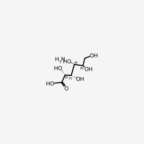 N.O=C(O)[C@H](O)[C@@H](O)[C@H](O)[C@H](O)CO